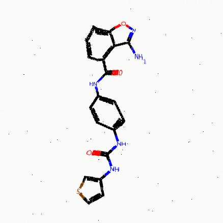 Nc1noc2cccc(C(=O)Nc3ccc(NC(=O)Nc4ccsc4)cc3)c12